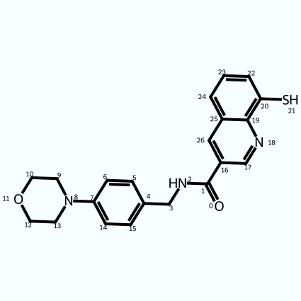 O=C(NCc1ccc(N2CCOCC2)cc1)c1cnc2c(S)cccc2c1